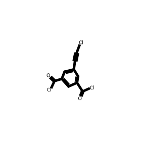 O=C(Cl)c1cc(C#CCl)cc(C(=O)Cl)c1